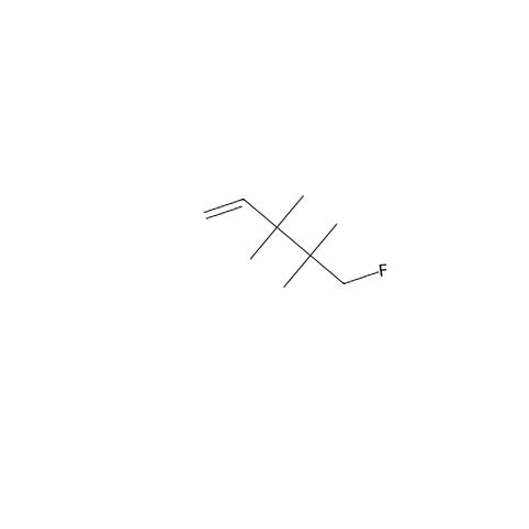 C=CC(C)(C)C(C)(C)CF